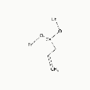 C=C[CH2][Ga]([O]CC)[O]CC